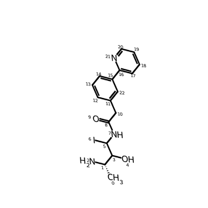 C[C@H](N)C(O)C(I)NC(=O)Cc1cccc(-c2ccccn2)c1